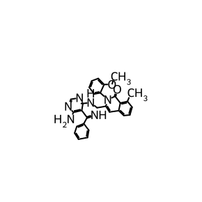 COc1ccccc1-n1c(CNc2ncnc(N)c2C(=N)c2ccccc2)cc2cccc(C)c2c1=O